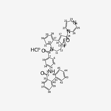 Cl.O=C(Nc1ccc(C(=O)N2CCC(F)(F)/C(=C\C(=O)N3C=CC=NC=C3)c3ccccc32)cc1)c1ccccc1-c1ccccc1